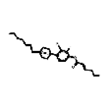 CCCC=CC(=O)Oc1ccc(C23CCC(CCCCCCC)(CC2)CC3)c(F)c1F